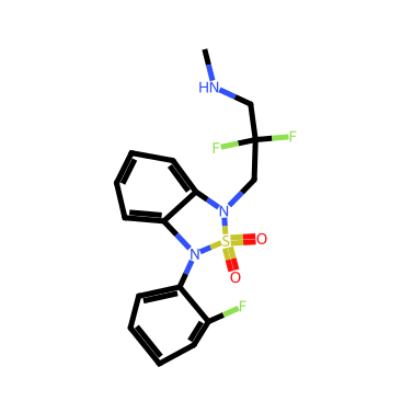 CNCC(F)(F)CN1c2ccccc2N(c2ccccc2F)S1(=O)=O